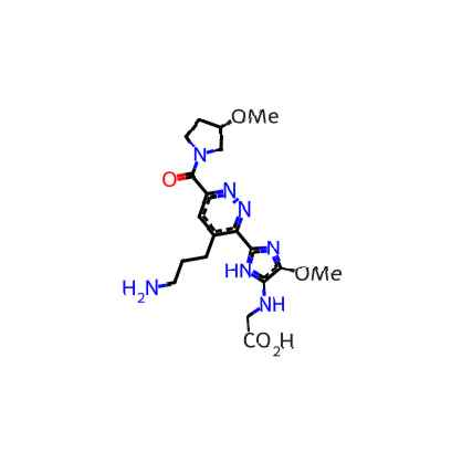 COc1nc(-c2nnc(C(=O)N3CCC(OC)C3)cc2CCCN)[nH]c1NCC(=O)O